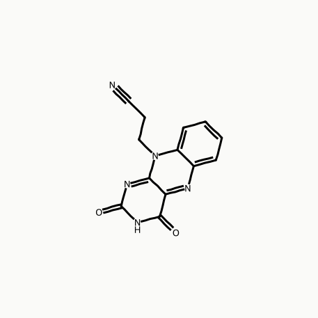 N#CCCn1c2nc(=O)[nH]c(=O)c-2nc2ccccc21